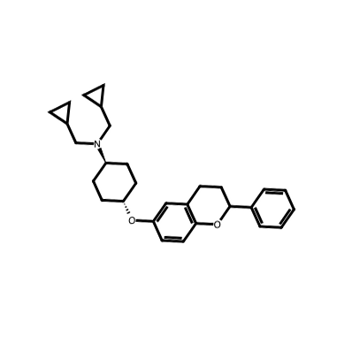 c1ccc(C2CCc3cc(O[C@H]4CC[C@H](N(CC5CC5)CC5CC5)CC4)ccc3O2)cc1